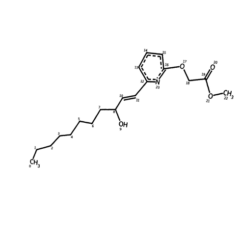 CCCCCCCCC(O)C=Cc1cccc(OCC(=O)OC)n1